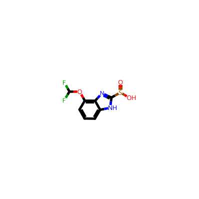 O=S(O)c1nc2c(OC(F)F)cccc2[nH]1